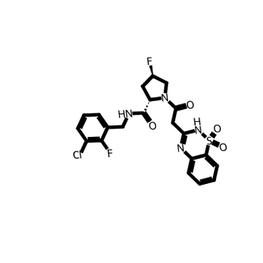 O=C(NCc1cccc(Cl)c1F)[C@@H]1C[C@@H](F)CN1C(=O)CC1=Nc2ccccc2S(=O)(=O)N1